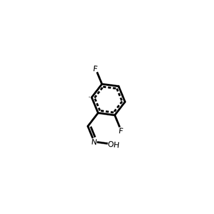 O/N=C\c1[c]c(F)ccc1F